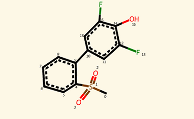 CS(=O)(=O)c1ccccc1-c1cc(F)c(O)c(F)c1